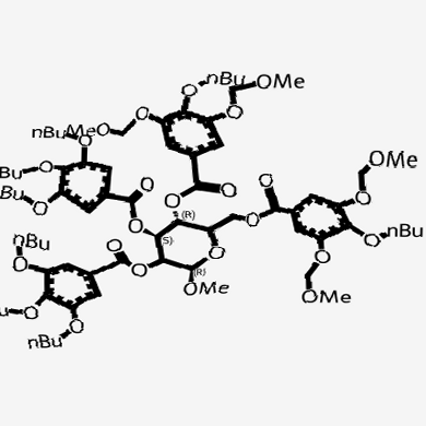 CCCCOc1cc(C(=O)OC2[C@H](OC)OC(COC(=O)c3cc(OCOC)c(OCCCC)c(OCOC)c3)[C@@H](OC(=O)c3cc(OCOC)c(OCCCC)c(OCOC)c3)[C@@H]2OC(=O)c2cc(OCCCC)c(OCCCC)c(OCCCC)c2)cc(OCCCC)c1OCCCC